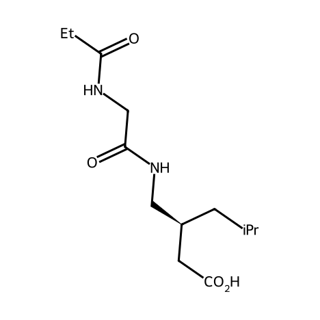 CCC(=O)NCC(=O)NC[C@H](CC(=O)O)CC(C)C